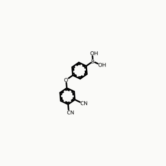 N#Cc1ccc(Oc2ccc(B(O)O)cc2)cc1C#N